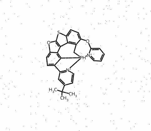 CC(C)(C)c1cc[n+]2c(c1)-c1ccc3oc4sc5ccc6c7c5c4c3c1[PH]2(C7)[n+]1ccccc1O6